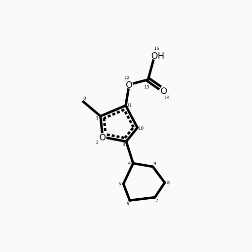 Cc1oc(C2CCCCC2)cc1OC(=O)O